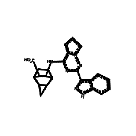 O=C(O)C1C2CCC(C3CC32)C1Nc1nc(-c2n[nH]c3ncccc23)nn2cccc12